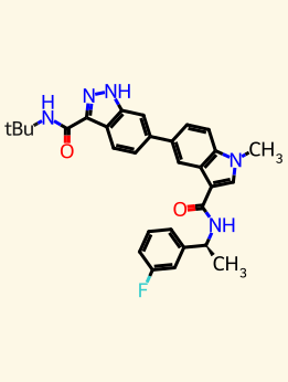 C[C@H](NC(=O)c1cn(C)c2ccc(-c3ccc4c(C(=O)NC(C)(C)C)n[nH]c4c3)cc12)c1cccc(F)c1